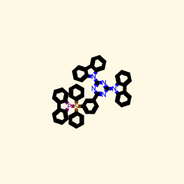 c1ccc(S(c2ccccc2)(c2cccc(-c3nc(-n4c5ccccc5c5ccccc54)nc(-n4c5ccccc5c5ccccc54)n3)c2)p2c3ccccc3c3ccccc32)cc1